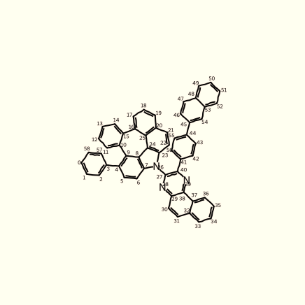 c1ccc(-c2ccc3c4c2-c2ccccc2-c2cccc5ccc(c4c25)n3-c2nc3ccc4ccccc4c3nc2-c2ccc(-c3ccc4ccccc4c3)cc2)cc1